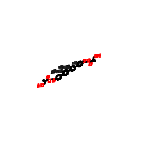 C=C(CO)C(=O)OCOc1ccc(-c2ccc(-c3ccc(-c4ccc(OCOC(=O)C(=C)CO)cc4)c(CCCCC)c3CCCCC)c(CCC)c2CCCCC)cc1